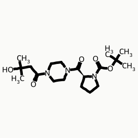 CC(C)(O)CC(=O)N1CCN(C(=O)[C@@H]2CCCN2C(=O)OC(C)(C)C)CC1